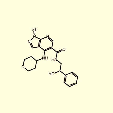 CCn1ncc2c(NC3CCOCC3)c(C(=O)NC[C@H](O)c3ccccc3)cnc21